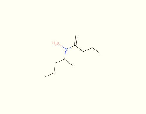 BN(C(=C)CCC)C(C)CCC